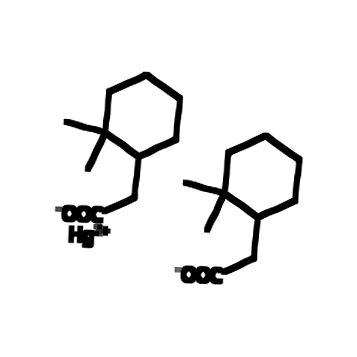 CC1(C)CCCCC1CC(=O)[O-].CC1(C)CCCCC1CC(=O)[O-].[Hg+2]